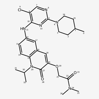 CC1CCN(c2ncc(Cl)c(Nc3ccc4c(c3)cc(OCC(=O)N(C)C)c(=O)n4C(C)C)n2)CC1